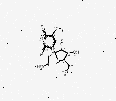 Cc1cn([C@]2(CCN)O[C@H](CO)[C@@H](O)[C@H]2O)c(=O)[nH]c1=O